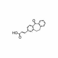 O=C(O)/C=C/c1ccc2c(c1)CCc1ccccc1C2=O